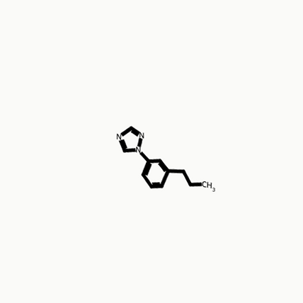 CCCc1cccc(-n2cncn2)c1